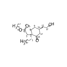 CC[C@]1(CC(=O)OC)CC[C@@H](CCO)CC1=O